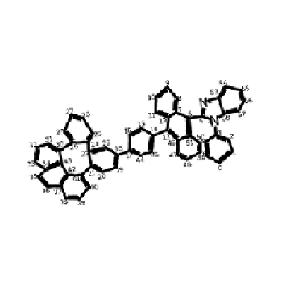 c1ccc(-n2c(-c3c4ccccc4c(-c4ccc(-c5ccc6c(c5)c5ccccc5c5cccc7ccc8cccc6c8c75)cc4)c4ccccc34)nc3ccccc32)cc1